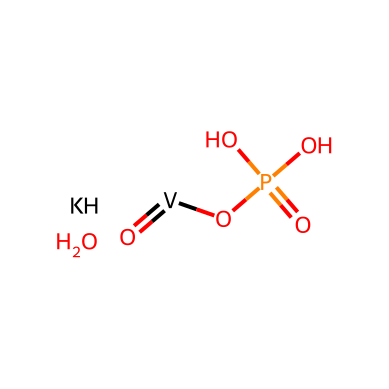 O.[KH].[O]=[V][O]P(=O)(O)O